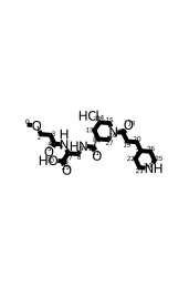 COCCC(=O)NC(CNC(=O)[C@@H]1CCCN(C(=O)CCC2CCNCC2)C1)C(=O)O.Cl